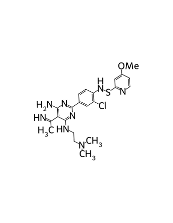 COc1ccnc(SNc2ccc(-c3nc(N)c(C(C)=N)c(NCCN(C)C)n3)cc2Cl)c1